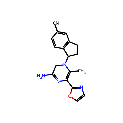 CC1=C(c2ncco2)N=C(N)CN1C1CCc2cc(C#N)ccc21